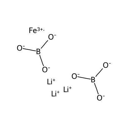 [Fe+3].[Li+].[Li+].[Li+].[O-]B([O-])[O-].[O-]B([O-])[O-]